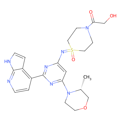 C[C@@H]1COCCN1c1cc(N=S2(=O)CCN(C(=O)CO)CC2)nc(-c2ccnc3[nH]ccc23)n1